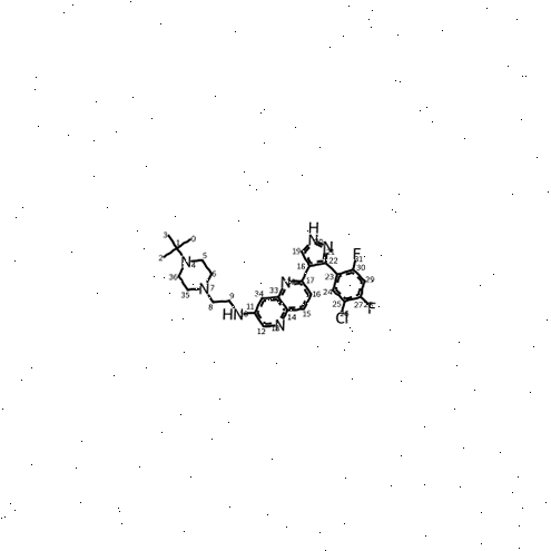 CC(C)(C)N1CCN(CCNc2cnc3ccc(-c4c[nH]nc4-c4cc(Cl)c(F)cc4F)nc3c2)CC1